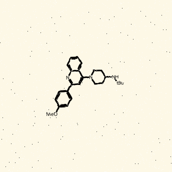 COc1ccc(-c2cc(N3CCC(NC(C)(C)C)CC3)c3ccccc3n2)cc1